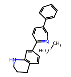 CC(=O)O.c1ccc(-c2ccc(-c3ccc4c(c3)NCCC4)nc2)cc1